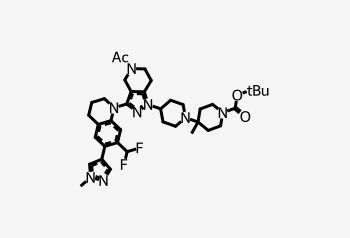 CC(=O)N1CCc2c(c(N3CCCc4cc(-c5cnn(C)c5)c(C(F)F)cc43)nn2C2CCN(C3(C)CCN(C(=O)OC(C)(C)C)CC3)CC2)C1